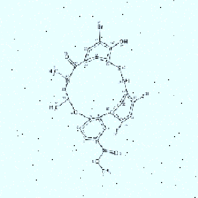 COC(=O)c1ccc2c(c1)-c1cc(c(F)cc1F)NSc1cc(cc(Br)c1O)C(=O)N(C)CC(C)O2